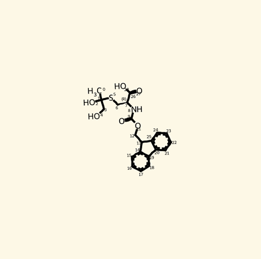 CC(O)(CO)SC[C@H](NC(=O)OCC1c2ccccc2-c2ccccc21)C(=O)O